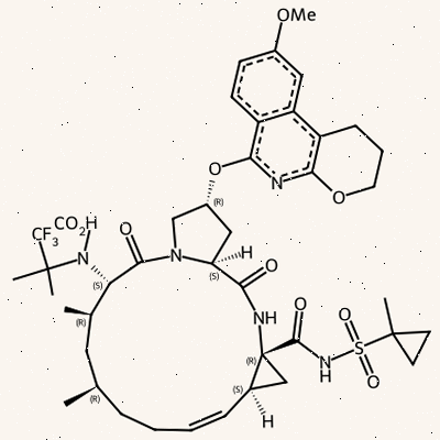 COc1ccc2c(O[C@@H]3C[C@H]4C(=O)N[C@]5(C(=O)NS(=O)(=O)C6(C)CC6)C[C@H]5C=CCC[C@@H](C)C[C@@H](C)[C@H](N(C(=O)O)C(C)(C)C(F)(F)F)C(=O)N4C3)nc3c(c2c1)CCCO3